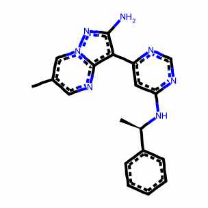 Cc1cnc2c(-c3cc(N[C@H](C)c4ccccc4)ncn3)c(N)nn2c1